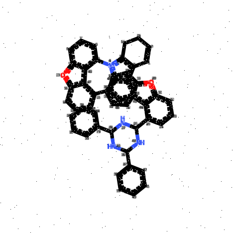 C1=Cc2c(n(-c3cccc4oc5cccc(-c6ccc7oc8cccc(C9NC(c%10ccccc%10)NC(c%10ccccc%10)N9)c8c7c6)c5c34)c3ccccc23)CC1